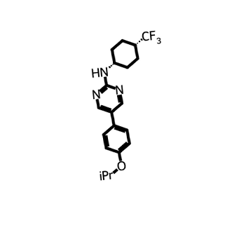 CC(C)Oc1ccc(-c2cnc(N[C@H]3CC[C@@H](C(F)(F)F)CC3)nc2)cc1